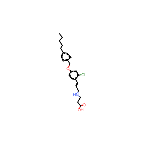 CCCCCc1ccc(COc2ccc(C=CCNCCC(=O)O)c(Cl)c2)cc1